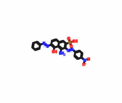 Nc1c(/N=N/c2ccc([N+](=O)[O-])cc2)c(S(=O)(=O)O)cc2ccc(/N=N/c3ccccc3)c(O)c12